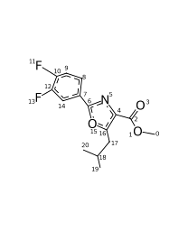 COC(=O)c1nc(-c2ccc(F)c(F)c2)oc1CC(C)C